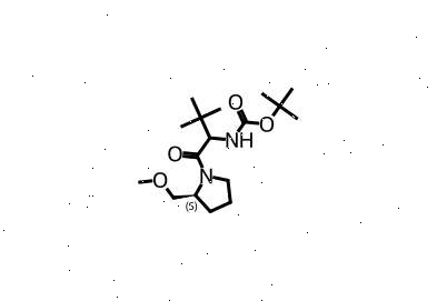 COC[C@@H]1CCCN1C(=O)C(NC(=O)OC(C)(C)C)C(C)(C)C